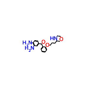 Nc1ccc(C(=O)c2ccccc2OCCCC2COCCN2)cc1N